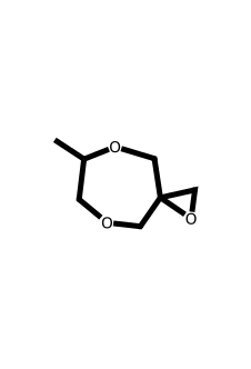 CC1COCC2(CO1)CO2